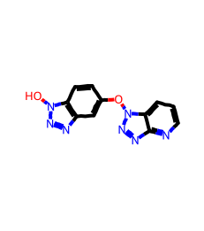 On1nnc2cc(On3nnc4ncccc43)ccc21